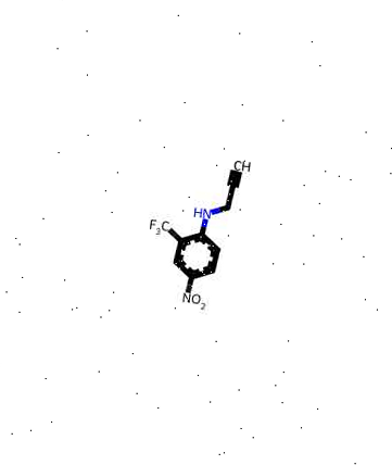 C#CCNc1ccc([N+](=O)[O-])cc1C(F)(F)F